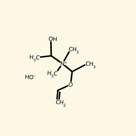 C=COC(C)[N+](C)(C)C(C)O.[OH-]